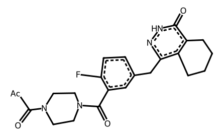 CC(=O)C(=O)N1CCN(C(=O)c2cc(Cc3n[nH]c(=O)c4c3CCCC4)ccc2F)CC1